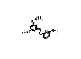 Bc1cccc(OCc2cc(OC)cc(OC)c2)n1